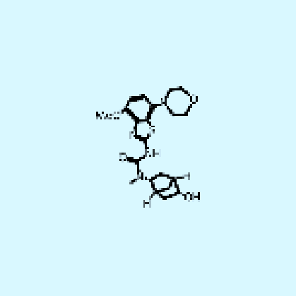 COc1ccc(N2CCOCC2)c2sc(NC(=O)N(C)[C@@H]3C[C@H]4C[C@@H]3C[C@@H]4O)nc12